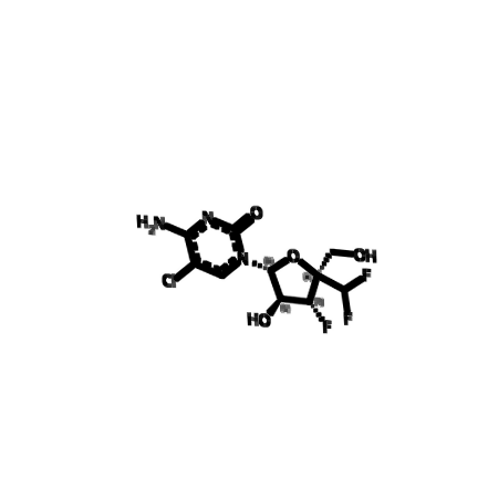 Nc1nc(=O)n([C@@H]2O[C@@](CO)(C(F)F)[C@H](F)[C@H]2O)cc1Cl